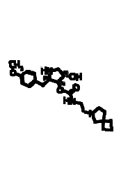 COc1ccc(C[C@H]2NC[C@H](O)[C@H]2OC(=O)NCCN2CCC3(CCC3)C2)cc1